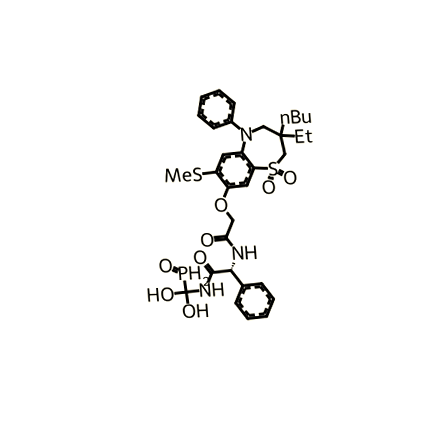 CCCCC1(CC)CN(c2ccccc2)c2cc(SC)c(OCC(=O)N[C@@H](C(=O)NC(O)(O)[PH2]=O)c3ccccc3)cc2S(=O)(=O)C1